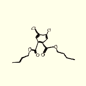 CCCCOC(=O)c1cc(Cl)c(Cl)cc1C(=O)OCCCC